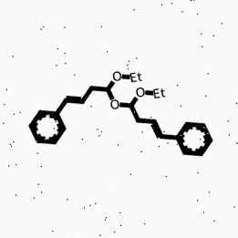 CCOC(CC=Cc1ccccc1)OC(CC=Cc1ccccc1)OCC